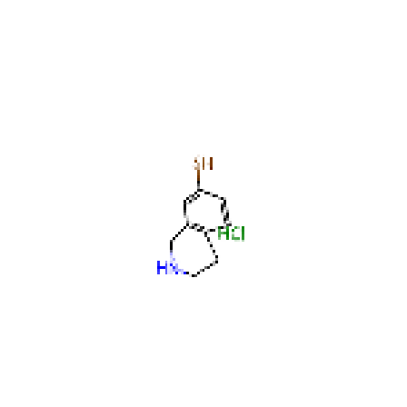 Cl.Sc1ccc2c(c1)CNCC2